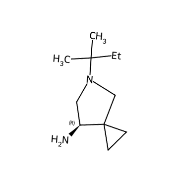 CCC(C)(C)N1C[C@H](N)C2(CC2)C1